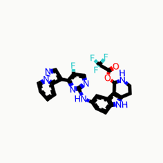 O=C(OC1NCCc2[nH]c3ccc(Nc4ncc(F)c(-c5cnn6ccccc56)n4)cc3c21)C(F)(F)F